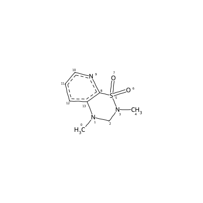 CN1CN(C)S(=O)(=O)c2ncccc21